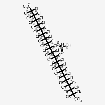 ClC(Cl)(Cl)C(Cl)(Cl)C(Cl)(Cl)C(Cl)(Cl)C(Cl)(Cl)C(Cl)(Cl)C(Cl)(Cl)C(Cl)(Cl)C(Cl)(Cl)C(Cl)(Cl)C(Cl)(Cl)C(Cl)(Cl)C(Cl)(Cl)C(Cl)(Cl)C(Cl)(Cl)C(Cl)(Cl)C(Cl)(Cl)C(Cl)(Cl)C(Cl)(Cl)C(Cl)(Cl)C(Cl)(Cl)Cl.O=[SH](=O)O